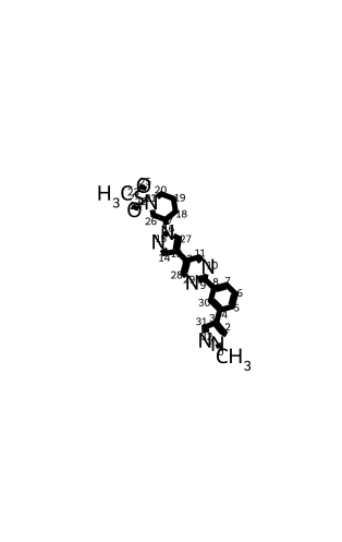 Cn1cc(-c2cccc(-c3ncc(-c4cnn(C5CCCN(S(C)(=O)=O)C5)c4)cn3)c2)cn1